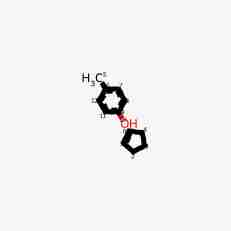 C1=CCCC1.Cc1ccc(O)cc1